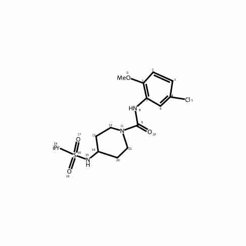 COc1ccc(Cl)cc1NC(=O)N1CCC(NS(=O)(=O)C(C)C)CC1